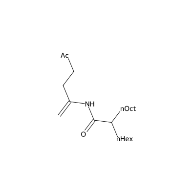 C=C(CCC(C)=O)NC(=O)C(CCCCCC)CCCCCCCC